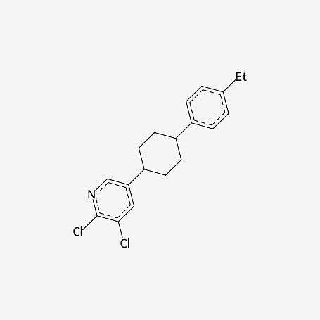 CCc1ccc(C2CCC(c3cnc(Cl)c(Cl)c3)CC2)cc1